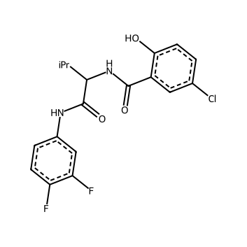 CC(C)C(NC(=O)c1cc(Cl)ccc1O)C(=O)Nc1ccc(F)c(F)c1